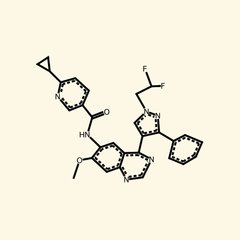 COc1cc2ncnc(-c3cn(CC(F)F)nc3-c3ccccc3)c2cc1NC(=O)c1ccc(C2CC2)nc1